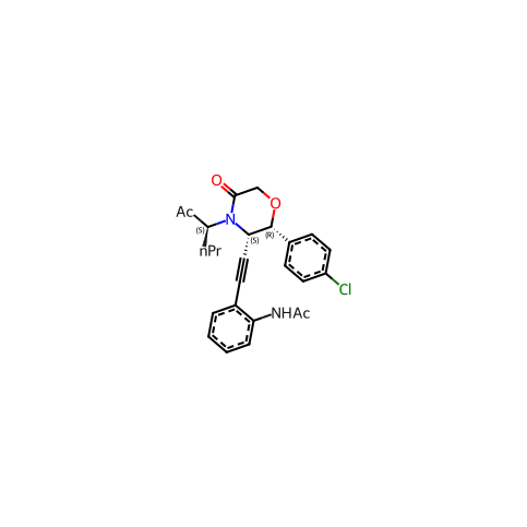 CCC[C@@H](C(C)=O)N1C(=O)CO[C@H](c2ccc(Cl)cc2)[C@@H]1C#Cc1ccccc1NC(C)=O